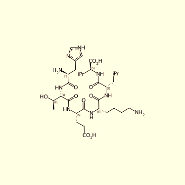 CC(C)C[C@H](NC(=O)[C@H](CCCCN)NC(=O)[C@H](CCC(=O)O)NC(=O)[C@@H](NC(=O)[C@@H](N)Cc1c[nH]cn1)[C@@H](C)O)C(=O)N[C@H](C(=O)O)C(C)C